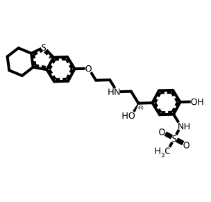 CS(=O)(=O)Nc1cc([C@@H](O)CNCCOc2ccc3c4c(sc3c2)CCCC4)ccc1O